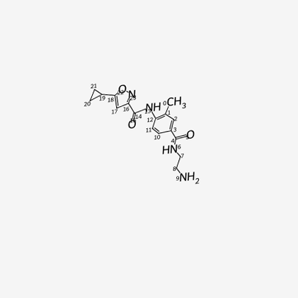 Cc1cc(C(=O)NCCN)ccc1NC(=O)c1cc(C2CC2)on1